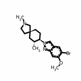 COc1cc2nn([C@@H]3CC[C@]4(CCN(C)C4)C[C@H]3C)cc2cc1Br